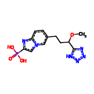 COC(CCc1ccc2nc(P(=O)(O)O)cn2c1)c1nnn[nH]1